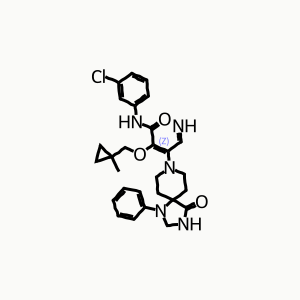 CC1(CO/C(C(=O)Nc2cccc(Cl)c2)=C(/C=N)N2CCC3(CC2)C(=O)NCN3c2ccccc2)CC1